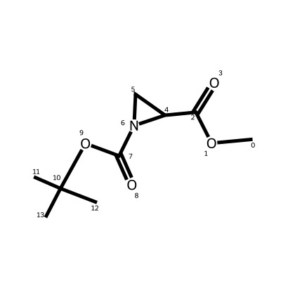 COC(=O)C1CN1C(=O)OC(C)(C)C